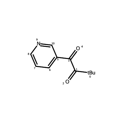 CC(C)(C)C(=O)C(=O)c1cccnc1